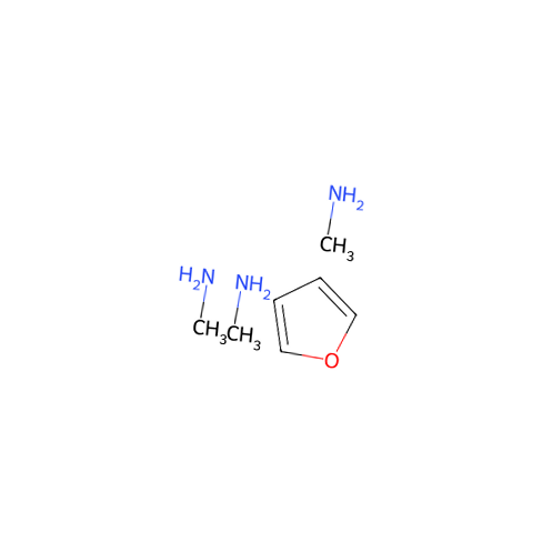 CN.CN.CN.c1ccoc1